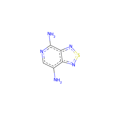 Nc1cnc(N)c2nsnc12